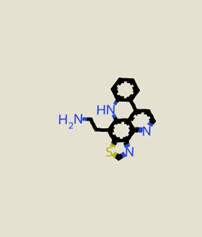 NCCc1c2c3c(ccnc3c3ncsc13)-c1ccccc1N2